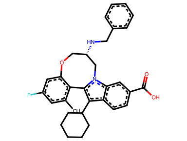 Cc1cc(F)cc2c1-c1c(C3CCCCC3)c3ccc(C(=O)O)cc3n1C[C@@H](NCc1ccccc1)CO2